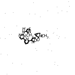 Cc1nscc1Nc1nccc(-c2cccc(-c3cc([C@]45CC4CN(C)C5=O)on3)n2)n1